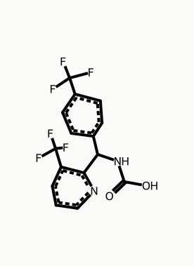 O=C(O)NC(c1ccc(C(F)(F)F)cc1)c1ncccc1C(F)(F)F